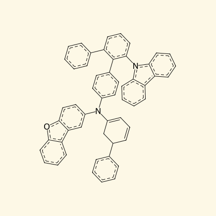 C1=CC(c2ccccc2)CC(N(c2ccc(-c3c(-c4ccccc4)cccc3-n3c4ccccc4c4ccccc43)cc2)c2ccc3oc4ccccc4c3c2)=C1